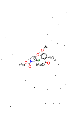 COC(=O)c1cc(O[C@@H]2CCN(C(=O)OC(C)(C)C)C[C@H]2F)c(OC2CC2)cc1[N+](=O)[O-]